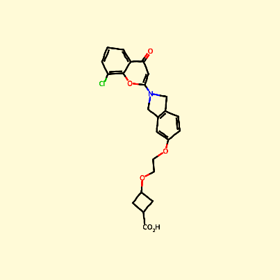 O=C(O)C1CC(OCCOc2ccc3c(c2)CN(c2cc(=O)c4cccc(Cl)c4o2)C3)C1